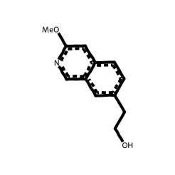 COc1cc2ccc(CCO)cc2cn1